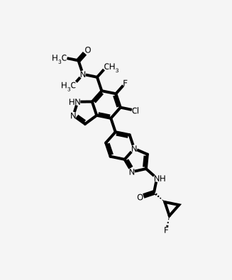 CC(=O)N(C)C(C)c1c(F)c(Cl)c(-c2ccc3nc(NC(=O)[C@@H]4C[C@@H]4F)cn3c2)c2cn[nH]c12